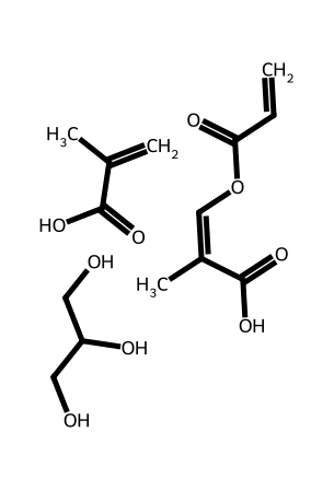 C=C(C)C(=O)O.C=CC(=O)OC=C(C)C(=O)O.OCC(O)CO